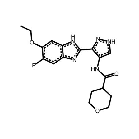 CCOc1cc2[nH]c(-c3n[nH]cc3NC(=O)C3CCOCC3)nc2cc1F